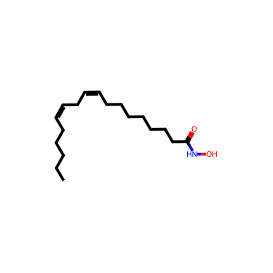 CCCCC/C=C\C/C=C\CCCCCCCC(=O)NO